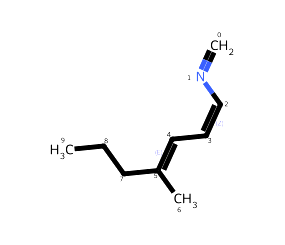 C=N/C=C\C=C(/C)CCC